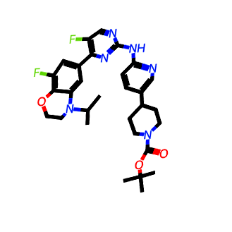 CC(C)N1CCOc2c(F)cc(-c3nc(Nc4ccc(C5CCN(C(=O)OC(C)(C)C)CC5)cn4)ncc3F)cc21